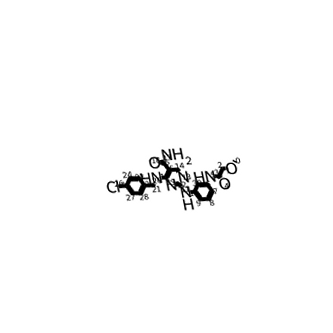 COCC(=O)Nc1cccc(Nc2ncc(C(N)=O)c(NCc3ccc(Cl)cc3)n2)c1